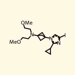 COCCN(CCOC)C12CC(n3cc(I)nc3C3CC3)(C1)C2